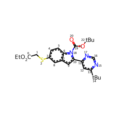 CCOC(=O)CSc1ccc2c(c1)cc(-c1cc(C(C)(C)C)ncn1)n2C(=O)OC(C)(C)C